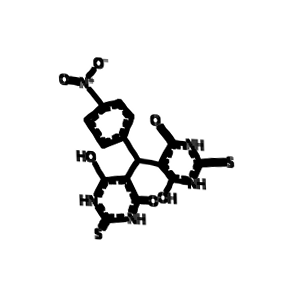 O=c1[nH]c(=S)[nH]c(O)c1C(c1ccc([N+](=O)[O-])cc1)c1c(O)[nH]c(=S)[nH]c1=O